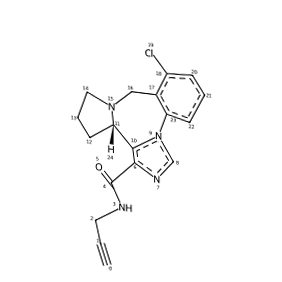 C#CCNC(=O)c1ncn2c1[C@@H]1CCCN1Cc1c(Cl)cccc1-2